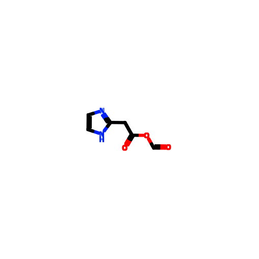 O=COC(=O)Cc1ncc[nH]1